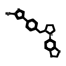 Cn1cc(-c2ccc(CN3CCC[C@@H]3c3ccc4c(c3)OCO4)cc2)cn1